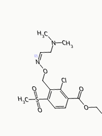 CCOC(=O)c1ccc(S(C)(=O)=O)c(CO/N=C\CN(C)C)c1Cl